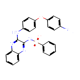 Nc1ccc(Oc2ccc(Nc3nc4ccccc4nc3NS(=O)(=O)c3ccccc3)cc2)cc1